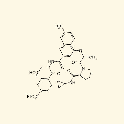 CCOC(=O)N1CCN(C(=O)[C@H](CC(=O)O)NC(=O)c2cc(O[C@@H](C)C(=O)N3CCC[C@H]3C(=O)NC3CC3)c3ccc(C)cc3n2)CC1